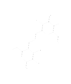 OCC1OC(COCC2C(CO)OC(O)C(O)C2O)C(O)C(O)C1O